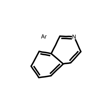 [Ar].c1ccc2cnccc2c1